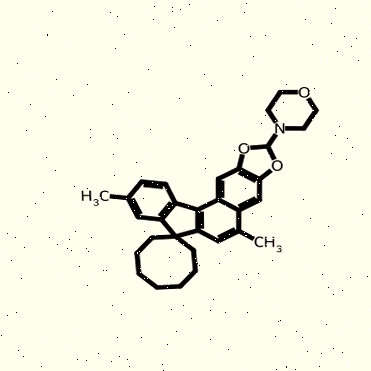 Cc1ccc2c(c1)C1(CCCCCCC1)c1cc(C)c3cc4c(cc3c1-2)OC(N1CCOCC1)O4